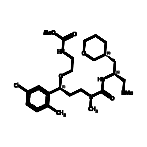 CNC[C@H](C[C@H]1CCCOC1)NC(=O)N(C)CC[C@H](OCCNC(=O)OC)c1cc(Cl)ccc1C